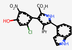 CC(C)c1c(-c2cccc3[nH]ccc23)[nH]c(C(=O)O)c1-c1cc([N+](=O)[O-])c(O)cc1Cl